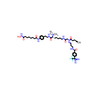 C#CCCC(=O)N(CC(=O)NCCCCC[C@H](C(=O)NCCc1ccc(NC(=O)CCCCCCC(=O)NO)cc1)N(C)C)/N=C/CCNC(=O)c1ccc(C2(C(F)(F)F)NN2)cc1